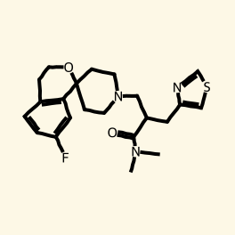 CN(C)C(=O)C(Cc1cscn1)CN1CCC2(CC1)OCCc1ccc(F)cc12